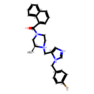 CCCC[C@H]1CN(C(=O)c2cccc3ccccc23)CCN1Cc1cncn1Cc1ccc(Br)cc1